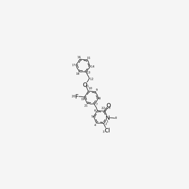 Cn1c(Cl)ccc(-c2ccc(OCc3ccccc3)c(F)c2)c1=O